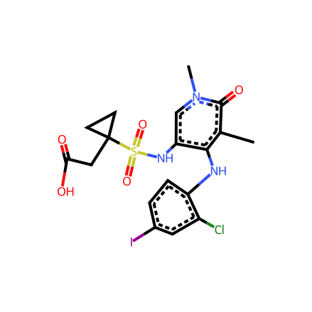 Cc1c(Nc2ccc(I)cc2Cl)c(NS(=O)(=O)C2(CC(=O)O)CC2)cn(C)c1=O